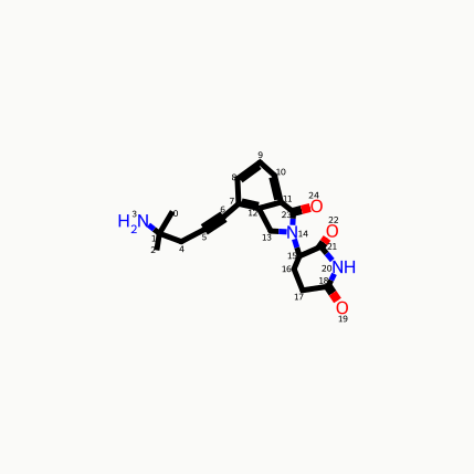 CC(C)(N)CC#Cc1cccc2c1CN(C1CCC(=O)NC1=O)C2=O